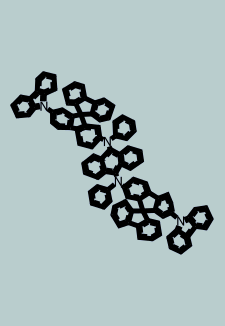 c1ccc(N(c2ccc3c(c2)C2(c4ccccc4-c4ccccc42)c2cc(-n4c5ccccc5c5ccccc54)ccc2-3)c2c3ccccc3c(N(c3ccccc3)c3ccc4c(c3)C3(c5ccccc5-c5ccccc53)c3cc(-n5c6ccccc6c6ccccc65)ccc3-4)c3ccccc23)cc1